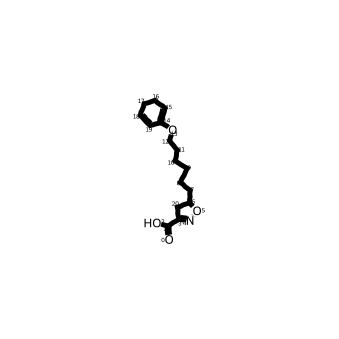 O=C(O)C1=NOC(CCCCCCOC2=CCCC=C2)C1